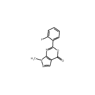 Cn1ncc2c(=O)oc(-c3ccccc3F)nc21